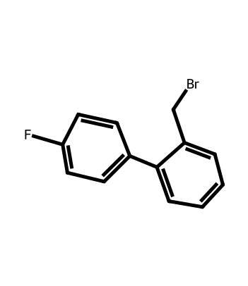 Fc1ccc(-c2ccccc2CBr)cc1